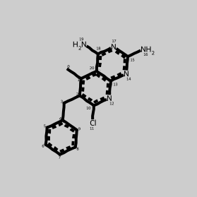 Cc1c(Cc2ccccc2)c(Cl)nc2nc(N)nc(N)c12